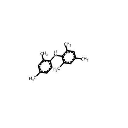 Cc1ccc(Nc2c(C)cc(C)cc2C)c(C)c1